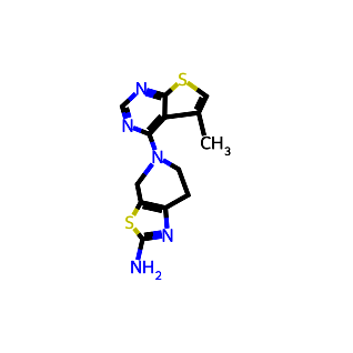 Cc1csc2ncnc(N3CCc4nc(N)sc4C3)c12